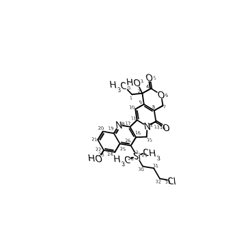 CCC1(O)C(=O)OCc2c1cc1n(c2=O)Cc2c-1nc1ccc(O)cc1c2[Si](C)(C)CCCCl